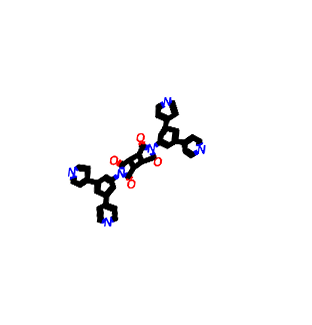 O=C1C2C(C(=O)N1c1cc(-c3ccncc3)cc(-c3ccncc3)c1)C1C(=O)N(c3cc(-c4ccncc4)cc(-c4ccncc4)c3)C(=O)C21